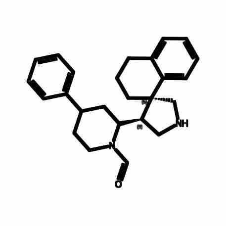 O=CN1CCC(c2ccccc2)CC1[C@@H]1CNC[C@@]12CCCc1ccccc12